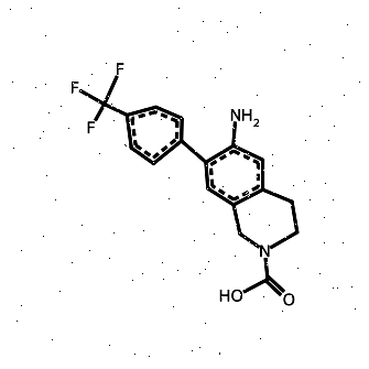 Nc1cc2c(cc1-c1ccc(C(F)(F)F)cc1)CN(C(=O)O)CC2